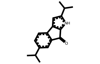 CC(C)c1ccc2c(c1)C(=O)c1[nH]c(C(C)C)cc1-2